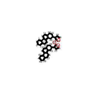 c1ccc2c(c1)ccc1c3c(ccc12)CCC(c1ccoc1Oc1occc1C1CCc2ccc4c(ccc5ccccc54)c2C1)C3